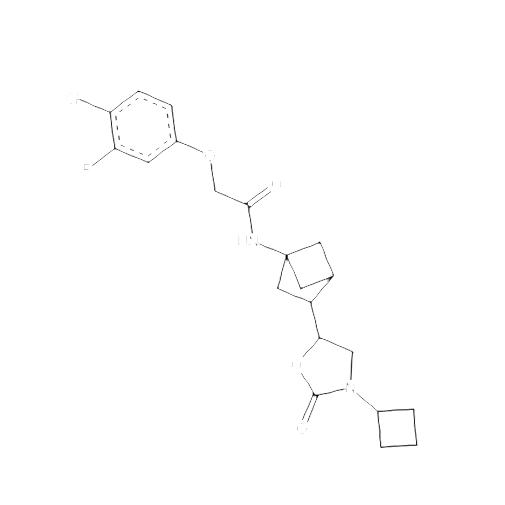 O=C(COc1ccc(Cl)c(F)c1)NC12CC(C1)C(C1CN(C3CCC3)C(=O)O1)C2